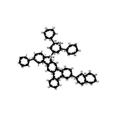 c1ccc(-c2ccc3c(c2)c2cc4c5ccccc5c5cc(-c6ccc7ccccc7c6)ccc5c4cc2n3-c2cc(-c3ccccc3)nc(-c3ccccc3)c2)cc1